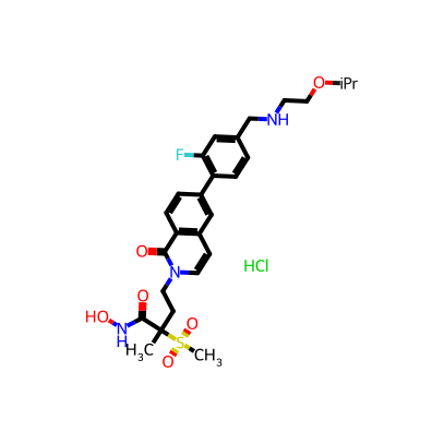 CC(C)OCCNCc1ccc(-c2ccc3c(=O)n(CCC(C)(C(=O)NO)S(C)(=O)=O)ccc3c2)c(F)c1.Cl